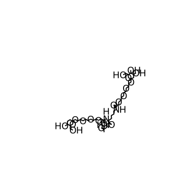 CC(=O)CNC(=O)C(CCCCNC(=O)COCCOCCOCCOC1CC(O)C(O)C(CO)O1)NC(=O)COCCOCCOCCOC1CCC(O)C(CO)O1